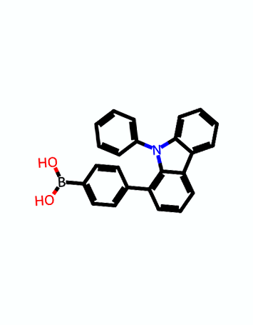 OB(O)c1ccc(-c2cccc3c4ccccc4n(-c4ccccc4)c23)cc1